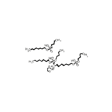 CCCCCCCCOP(=O)(O)OCCCC.CCCCCCCCOP(=O)(O)OCCCC.CCCCCCCCOP(=O)(O)OCCCC.[O]=[Ti]1[O]CC[O]1